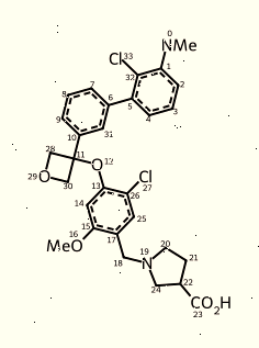 CNc1cccc(-c2cccc(C3(Oc4cc(OC)c(CN5CCC(C(=O)O)C5)cc4Cl)COC3)c2)c1Cl